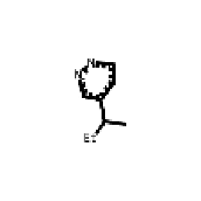 CCC(C)c1[c]nncc1